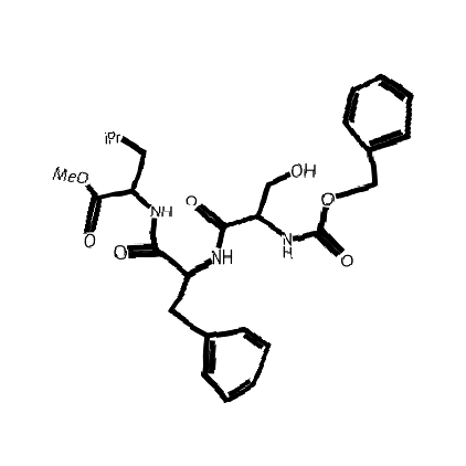 COC(=O)C(CC(C)C)NC(=O)C(Cc1ccccc1)NC(=O)C(CO)NC(=O)OCc1ccccc1